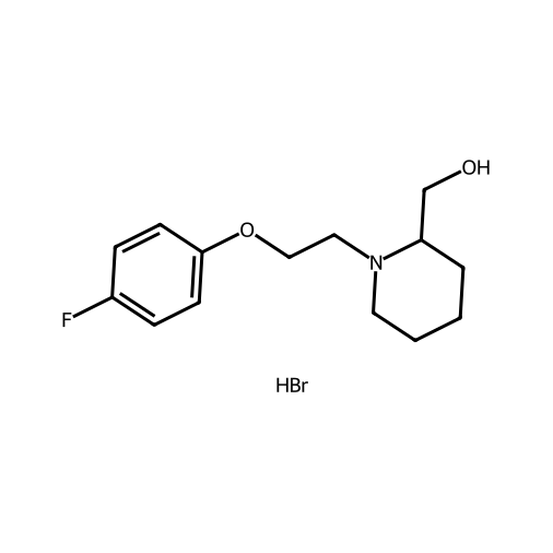 Br.OCC1CCCCN1CCOc1ccc(F)cc1